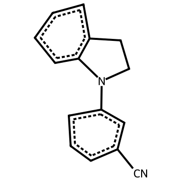 N#Cc1cccc(N2CCc3ccccc32)c1